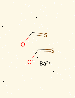 [Ba+2].[O-]C=S.[O-]C=S